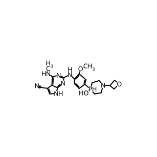 CNc1nc(Nc2ccc([PH]3(O)CCN(C4COC4)CC3)cc2OC)nc2[nH]cc(C#N)c12